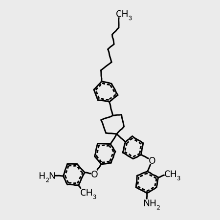 CCCCCCCc1ccc(C2CCC(c3ccc(Oc4ccc(N)cc4C)cc3)(c3ccc(Oc4ccc(N)cc4C)cc3)CC2)cc1